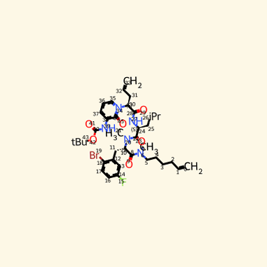 C=CCCCCN(C)C(=O)[C@H](Cc1cc(F)ccc1Br)N(C)C(=O)[C@H](CC(C)C)NC(=O)[C@H](CC=C)n1cccc(NC(=O)OC(C)(C)C)c1=O